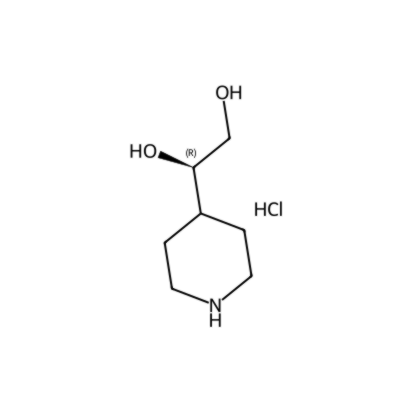 Cl.OC[C@H](O)C1CCNCC1